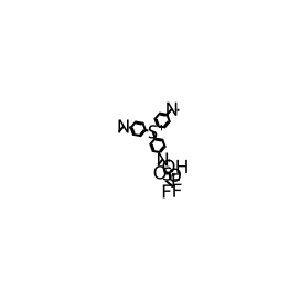 CN(C)c1ccc([S+](c2ccc(N(C)C)cc2)c2ccc(N(C)C)cc2)cc1.O=S(=O)(O)CC(F)(F)F